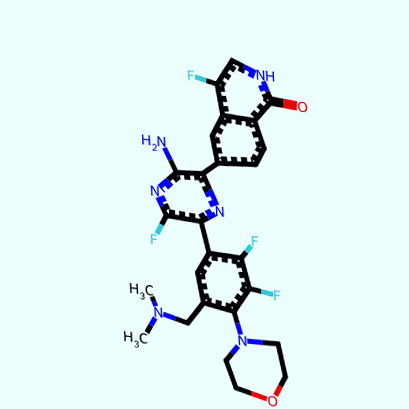 CN(C)Cc1cc(-c2nc(-c3ccc4c(=O)[nH]cc(F)c4c3)c(N)nc2F)c(F)c(F)c1N1CCOCC1